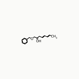 CC=CC=CC[C@@H](O)COCc1ccccc1